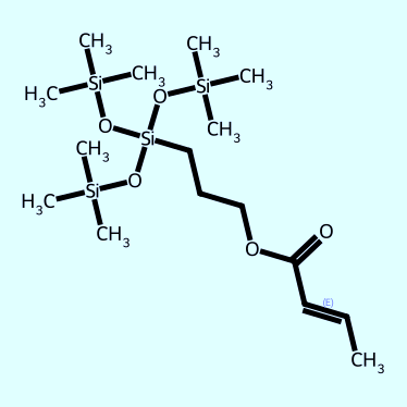 C/C=C/C(=O)OCCC[Si](O[Si](C)(C)C)(O[Si](C)(C)C)O[Si](C)(C)C